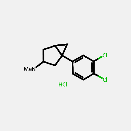 CNC1CC2CC2(c2ccc(Cl)c(Cl)c2)C1.Cl